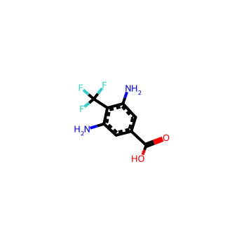 Nc1cc(C(=O)O)cc(N)c1C(F)(F)F